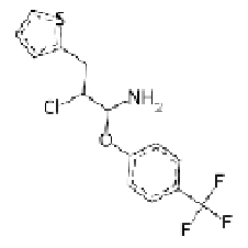 NC(Oc1ccc(C(F)(F)F)cc1)C(Cl)Cc1cccs1